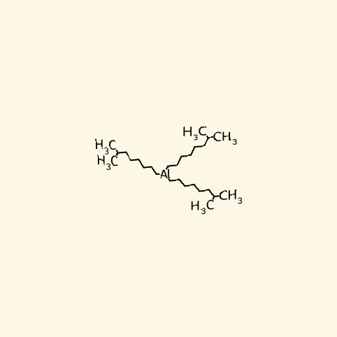 CC(C)CCCCC[CH2][Al]([CH2]CCCCCC(C)C)[CH2]CCCCCC(C)C